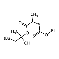 CCOC(=S)SC(C)C(=O)OC(C)(C)CC(C)(C)C